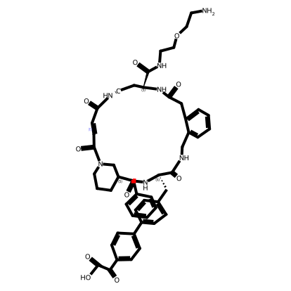 NCCOCCNC(=O)[C@@H]1CCNC(=O)/C=C/C(=O)N2CCC[C@](Cc3ccccc3)(C2)C(=O)N[C@@H](Cc2ccc(-c3ccc(C(=O)C(=O)O)cc3)cc2)C(=O)NCc2ccccc2CC(=O)N1